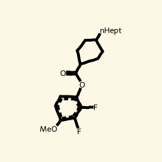 CCCCCCCC1CCC(C(=O)Oc2ccc(OC)c(F)c2F)CC1